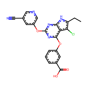 CCc1[nH]c2nc(Oc3cncc(C#N)c3)nc(Oc3cccc(C(=O)O)c3)c2c1Cl